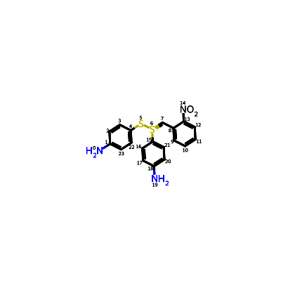 Nc1ccc(SS(=Cc2ccccc2[N+](=O)[O-])c2ccc(N)cc2)cc1